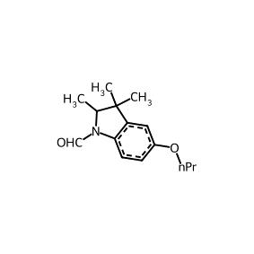 CCCOc1ccc2c(c1)C(C)(C)C(C)N2C=O